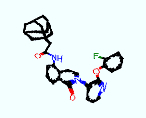 O=C(CC12CC3CC(CC(C3)C1)C2)Nc1cccc2c(=O)n(-c3cccnc3Oc3ccccc3F)ccc12